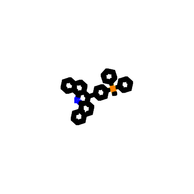 C=P(c1ccccc1)(c1ccccc1)c1ccc(-c2c3ccc4ccccc4c3nc3c2ccc2ccccc23)cc1